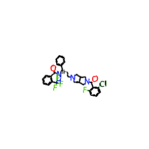 O=C(N[C@@H](CCN1CC2CN(C(=O)c3c(F)cccc3Cl)CC2C1)c1ccccc1)c1ccccc1C(F)(F)F